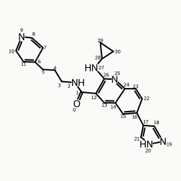 O=C(NCCCc1ccncc1)c1cc2cc(-c3cn[nH]c3)ccc2nc1NC1CC1